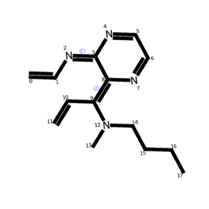 C=C/N=C1/N=CC=N/C1=C(/C=C)N(C)CCCC